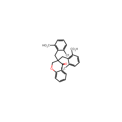 O=C(O)c1cccc(C(F)(F)F)c1CC1(Cc2c(C(=O)O)cccc2C(F)(F)F)COc2ccccc2C1=O